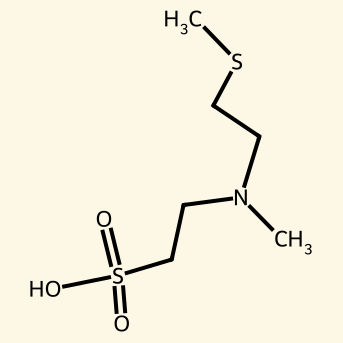 CSCCN(C)CCS(=O)(=O)O